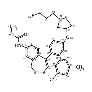 COC(=O)Nc1ccc2c(c1)CCCC(c1ccc(C)cc1Cl)=C2c1ccc(O[C@H]2CCN(CCCF)C2)cc1